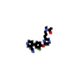 CC(=O)N(C)CCCc1cncc(Oc2ccc(-c3ccncc3C#N)cc2F)n1